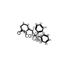 CC(C)(C)[Si](OCC1CCCC(=O)N1C(=O)O)(c1ccccc1)c1ccccc1